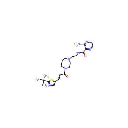 CC(C)(C)c1ncc(/C=C/C(=O)N2CCCN(CCNC(=O)c3nccnc3N)CC2)s1